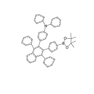 CC1(C)OB(c2ccc(-c3c(-c4ccc(N(c5ccccc5)c5ccccc5)cc4)c(-c4ccccc4)c4ccccc4c3-c3ccccc3)cc2)OC1(C)C